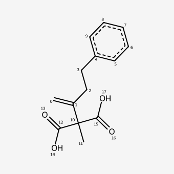 C=C(CCc1ccccc1)C(C)(C(=O)O)C(=O)O